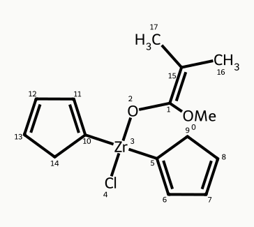 COC([O][Zr]([Cl])([C]1=CC=CC1)[C]1=CC=CC1)=C(C)C